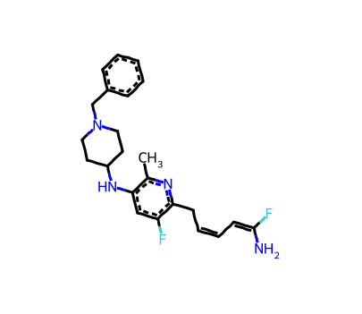 Cc1nc(C/C=C\C=C(/N)F)c(F)cc1NC1CCN(Cc2ccccc2)CC1